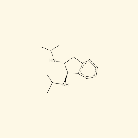 CC(C)N[C@@H]1c2ccccc2C[C@H]1NC(C)C